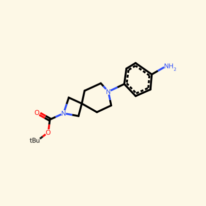 CC(C)(C)OC(=O)N1CC2(CCN(c3ccc(N)cc3)CC2)C1